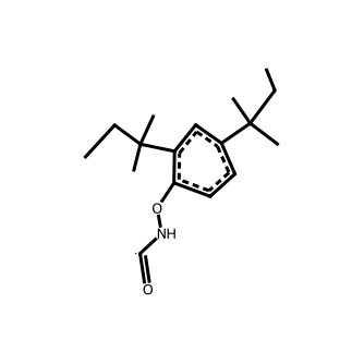 CCC(C)(C)c1ccc(ON[C]=O)c(C(C)(C)CC)c1